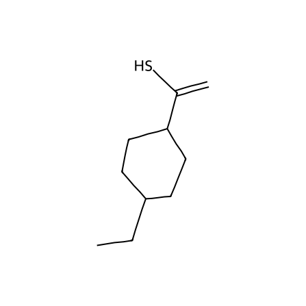 C=C(S)C1CCC(CC)CC1